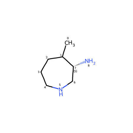 CC1CCCNC[C@H]1N